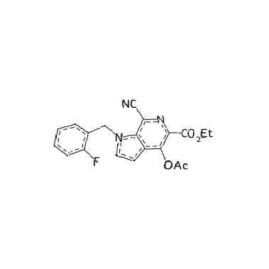 CCOC(=O)c1nc(C#N)c2c(ccn2Cc2ccccc2F)c1OC(C)=O